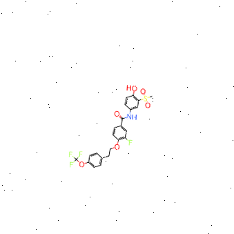 CS(=O)(=O)c1cc(NC(=O)c2ccc(OCCc3ccc(OC(F)(F)F)cc3)c(F)c2)ccc1O